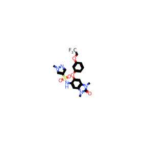 Cn1cc(S(=O)(=O)Nc2cc3c(cc2Oc2cccc(OCC(F)(F)F)c2)n(C)c(=O)n3C)cn1